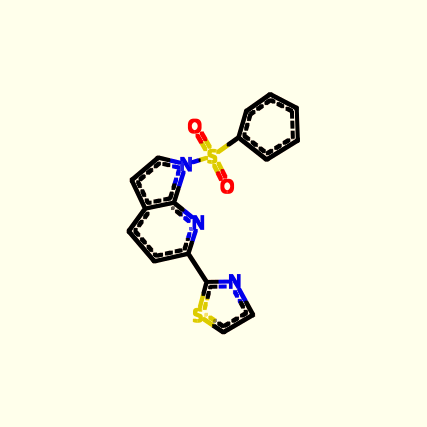 O=S(=O)(c1ccccc1)n1ccc2ccc(-c3nccs3)nc21